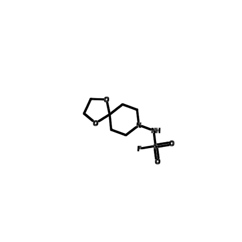 O=S(=O)(F)NN1CCC2(CC1)OCCO2